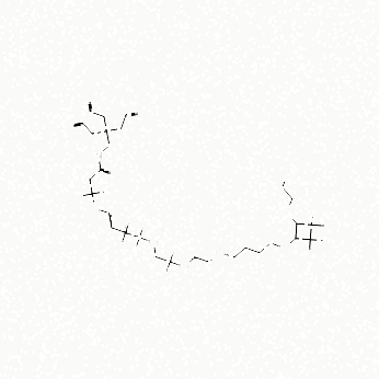 C=CCC(CC=C)(CC=C)CNC(=O)CC(C)(C)OCCC(C)(C)C(C)(C)OCC(C)(C)OCCOCCCCOC1C(OCCC(F)(F)F)C(F)(F)C1(F)F